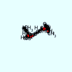 CC=C[C@]1(O)CC[C@H]2[C@@H]3CCC4=CC(=O)CCC4=C3[C@@H](c3ccc(N(C)CCOCCOCCOCCOCC(=O)NC(C(=O)N4C[C@H](O)C[C@H]4C(=O)NCc4ccc(-c5scnc5C)cc4)C(C)(C)C)cc3)C[C@@]21C